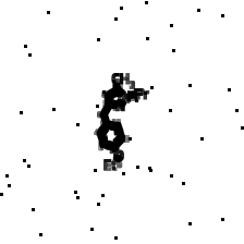 CCOc1ccc(Cc2cc(C)n(C(C)C)n2)cc1